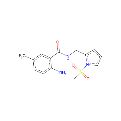 CS(=O)(=O)n1cccc1CNC(=O)c1cc(C(F)(F)F)ccc1N